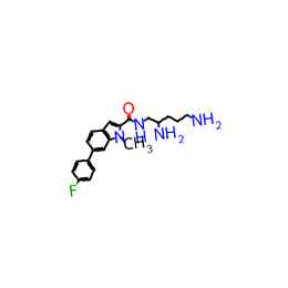 Cn1c(C(=O)NCC(N)CCCN)cc2ccc(-c3ccc(F)cc3)cc21